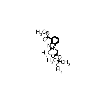 COC(=O)c1cccc2c1nc(C)n2CC(=O)OC(C)(C)C